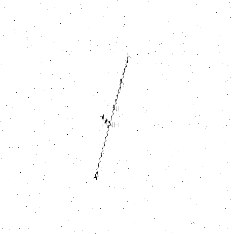 CC(C)(C)OC(=O)CCCCCCCCCCCCCCCCC(=O)NC(CCCCNC(=O)CCOCCOCCNC(=O)CCOCCOCCN)C(=O)OC(C)(C)C